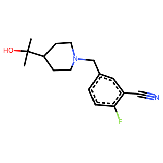 CC(C)(O)C1CCN(Cc2ccc(F)c(C#N)c2)CC1